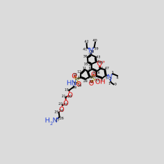 CCN(CC)c1ccc2c(-c3ccc(S(=O)(=O)NCCOCOCOCCN)cc3S(=O)(=O)O)c3ccc(N(CC)CC)cc3[o+]c2c1